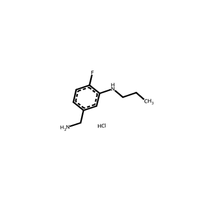 CCCNc1cc(CN)ccc1F.Cl